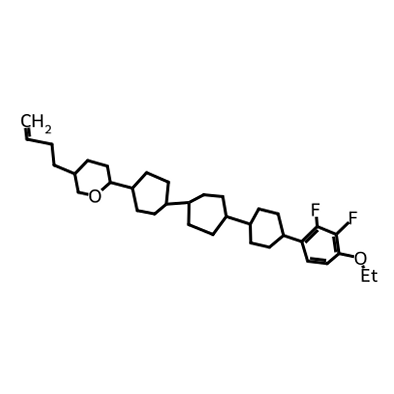 C=CCCC1CCC(C2CCC(C3CCC(C4CCC(c5ccc(OCC)c(F)c5F)CC4)CC3)CC2)OC1